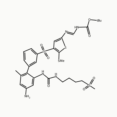 CSc1sc(/N=C/NC(=O)OC(C)(C)C)cc1S(=O)(=O)c1cccc(-c2c(C)cc(N)cc2NC(=O)NCCCCS(C)(=O)=O)c1